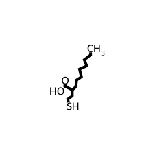 CCCCCCCCC(CCS)C(=O)O